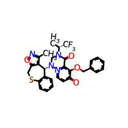 Cc1noc2c1[C@H](N1CN([C@H](C)C(F)(F)F)C(=O)c3c(OCc4ccccc4)c(=O)ccn31)c1ccccc1SC2